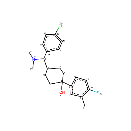 Cc1cc(C2(O)CCC(C(c3ccc(Cl)cc3)N(C)C)CC2)ccc1F